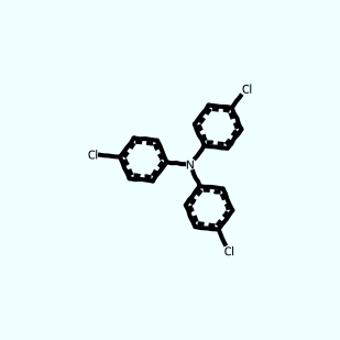 Clc1ccc(N(c2ccc(Cl)cc2)c2ccc(Cl)cc2)cc1